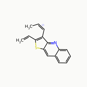 C=Cc1sc2cc3ccccc3nc2c1/C=C\C